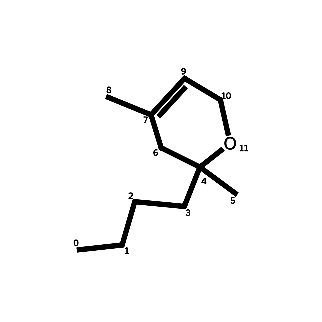 CCCCC1(C)CC(C)=CCO1